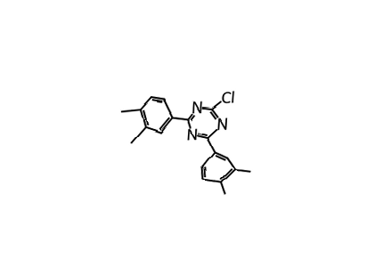 Cc1ccc(-c2nc(Cl)nc(-c3ccc(C)c(C)c3)n2)cc1C